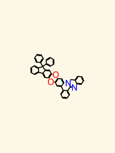 c1ccc(C2(c3ccccc3)c3ccccc3-c3cc4c(cc32)Oc2ccc(-c3ccccc3-c3ncc5ccccc5n3)cc2O4)cc1